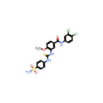 COc1ccc(C(=O)Nc2ccc(Cl)c(Cl)c2)cc1NC(=S)Nc1ccc(S(N)(=O)=O)cc1